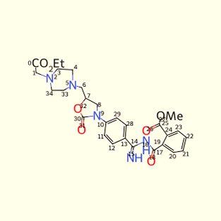 CCOC(=O)CN1CCN(CC2CN(c3ccc(C(=N)NC(=O)c4ccccc4C(=O)OC)cc3)C(=O)O2)CC1